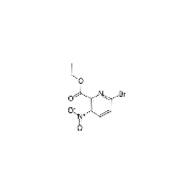 CCOC(=O)c1nc(Br)ccc1[N+](=O)[O-]